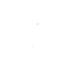 C=CC(CCCCCCCCCCCCC)C(=O)CC